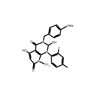 COc1ccc(CN2C(=O)c3c(O)cc(=O)n(C)c3N(c3ccc(I)cc3F)C2O)cc1